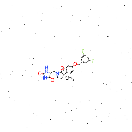 CC1(c2ccc(OCc3cc(F)cc(F)c3)cc2)CCN(CC2NC(=O)NC2=O)C1=O